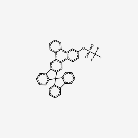 O=S(=O)(Oc1ccc2c(c1)c1ccccc1c1cc3c(cc21)C1(c2ccccc2-c2ccccc21)c1ccccc1-3)C(F)(F)F